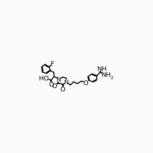 N=C(N)c1ccc(OCCCCN2CCN(C(Cc3ccccc3F)C(=O)O)C(=O)C2=O)cc1